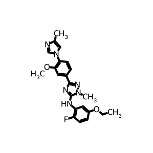 CCOc1ccc(F)c(Nc2nc(-c3ccc(-n4cnc(C)c4)c(OC)c3)nn2C)c1